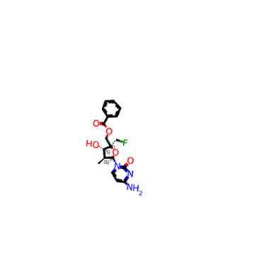 C[C@@H]1[C@H](n2ccc(N)nc2=O)O[C@](CF)(COC(=O)c2ccccc2)[C@H]1O